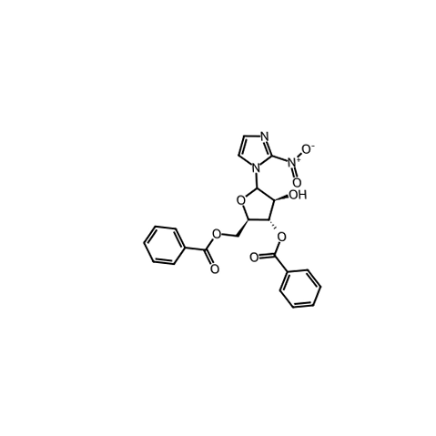 O=C(OC[C@H]1OC(n2ccnc2[N+](=O)[O-])[C@@H](O)[C@@H]1OC(=O)c1ccccc1)c1ccccc1